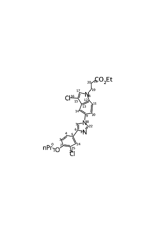 CCCOc1ccc(-c2cn(-c3ccc4c(c3)c(Cl)cn4CCC(=O)OCC)cn2)cc1Cl